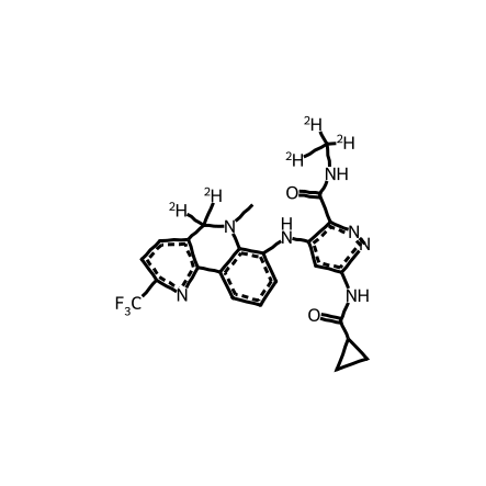 [2H]C([2H])([2H])NC(=O)c1nnc(NC(=O)C2CC2)cc1Nc1cccc2c1N(C)C([2H])([2H])c1ccc(C(F)(F)F)nc1-2